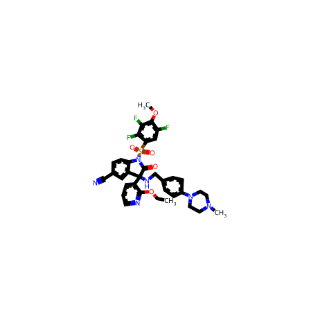 CCOc1ncccc1C1(NCc2ccc(N3CCN(C)CC3)cc2)C(=O)N(S(=O)(=O)c2cc(F)c(OC)c(F)c2F)c2ccc(C#N)cc21